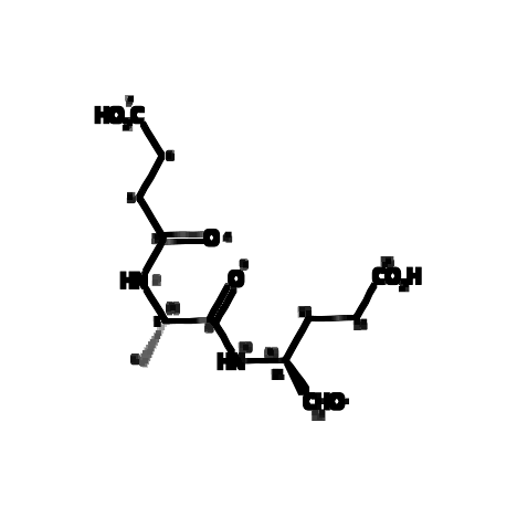 C[C@H](NC(=O)CCC(=O)O)C(=O)N[C@H]([C]=O)CCC(=O)O